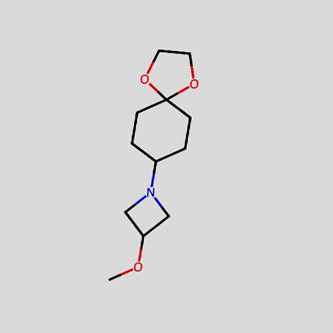 COC1CN(C2CCC3(CC2)OCCO3)C1